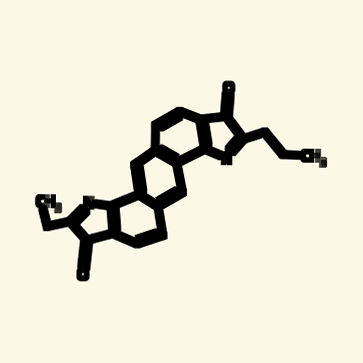 CCCc1nc2c(ccc3cc4c(ccc5c(=O)c(CC)nc54)cc32)c1=O